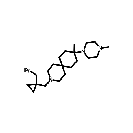 CC(C)CC1(CN2CCC3(CC2)CCC(C)(N2CCN(C)CC2)CC3)CC1